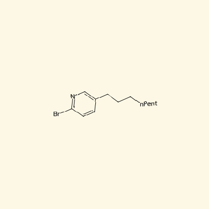 CCCCCCCCc1ccc(Br)nc1